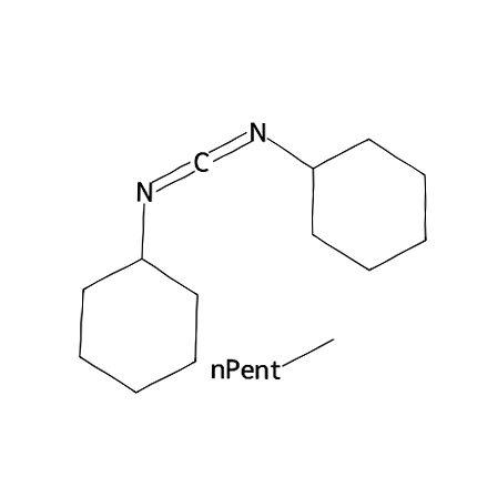 C(=NC1CCCCC1)=NC1CCCCC1.CCCCCC